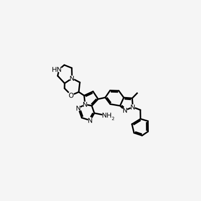 Cc1c2ccc(-c3cc(C4CN5CCNCC5CO4)n4ncnc(N)c34)cc2nn1Cc1ccccc1